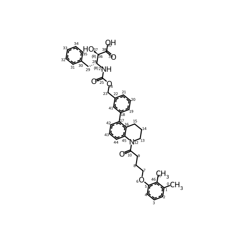 Cc1cccc(OCCCC(=O)N2CCCc3c(-c4cccc(COC(=O)N[C@H](Cc5ccccc5)[C@@H](O)C(=O)O)c4)cccc32)c1C